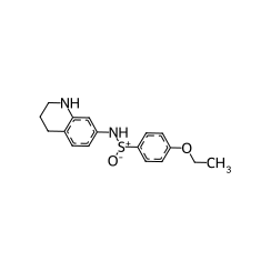 CCOc1ccc([S+]([O-])Nc2ccc3c(c2)NCCC3)cc1